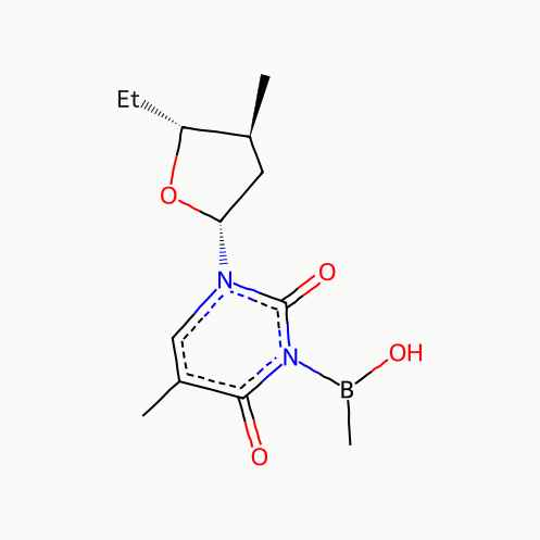 CC[C@H]1O[C@@H](n2cc(C)c(=O)n(B(C)O)c2=O)C[C@@H]1C